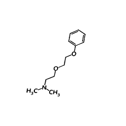 CN(C)CCOCCOc1ccccc1